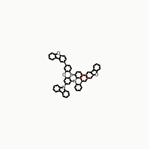 c1ccc(-c2ccccc2N2c3cc(-c4ccc5oc6ccccc6c5c4)ccc3B3c4ccc(-c5ccc6oc7ccccc7c6c5)cc4Oc4cc(-n5c6ccccc6c6ccccc65)cc2c43)cc1